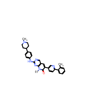 CCn1c(=O)c(-c2ccc(-c3ccccc3C)nc2)cc2cnc(Nc3ccc(C4CCN(C)CC4)cc3)nc21